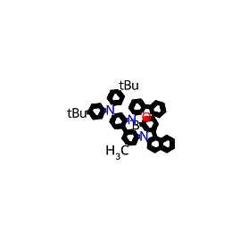 Cc1cc2c3c(c1)-n1c4ccc5ccccc5c4c4cccc(c41)B3N(c1cccc3c1oc1ccccc13)c1cc(N(c3ccc(C(C)(C)C)cc3)c3ccc(C(C)(C)C)cc3)ccc1-2